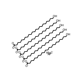 O=C([O-])CCCCCCCCCCCCCCCCCCCCCO.O=C([O-])CCCCCCCCCCCCCCCCCCCCCO.O=C([O-])CCCCCCCCCCCCCCCCCCCCCO.O=C([O-])CCCCCCCCCCCCCCCCCCCCCO.O=C([O-])CCCCCCCCCCCCCCCCCCCCCO.[Al+3].[Mg+2]